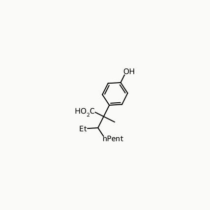 CCCCCC(CC)C(C)(C(=O)O)c1ccc(O)cc1